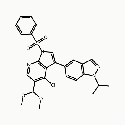 COC(OC)c1cnc2c(c(-c3ccc4c(cnn4C(C)C)c3)cn2S(=O)(=O)c2ccccc2)c1Cl